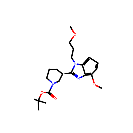 COCCCn1c([C@@H]2CCCN(C(=O)OC(C)(C)C)C2)nc2c(OC)cccc21